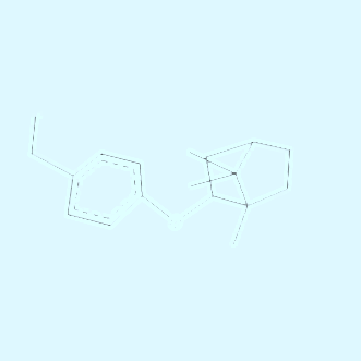 [CH2]Cc1ccc(OC2CC3CCC2(C)C3(C)C)cc1